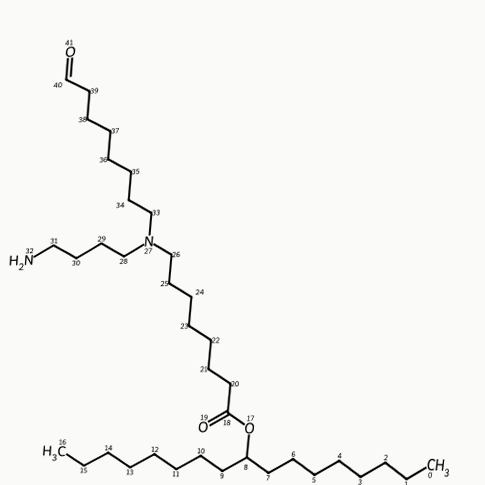 CCCCCCCCC(CCCCCCCC)OC(=O)CCCCCCCN(CCCCN)CCCCCCCC=O